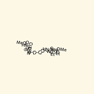 CCC(CC)C(NC(=O)OC)C(=O)N1CCCC1c1ncc(-c2ccc3cc(-c4ccc(-c5cnc(C6CCCN6C(=O)C(NC(=O)OC)c6ccccc6)[nH]5)cc4)ccc3c2)[nH]1